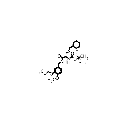 COCOc1cc(CNC(=O)[C@H](CSCC2CCCCC2)NC(=O)OC(C)(C)C)ccc1OC